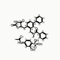 CC(=O)Nc1ccc([As](=O)(O)O)c(O)c1.CN(Cc1cc(-c2ccccc2)ccc1CC1SC(=O)NC1=O)C(=O)c1ccccc1